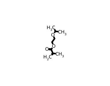 C=C(C)C(=O)OCCOC(C)C